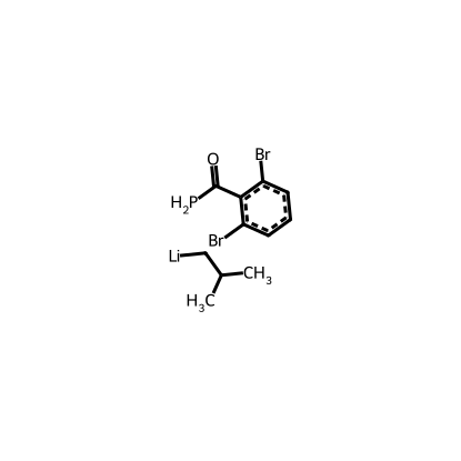 O=C(P)c1c(Br)cccc1Br.[Li][CH2]C(C)C